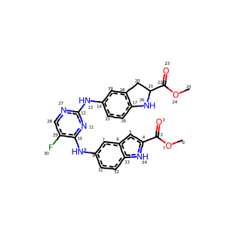 COC(=O)c1cc2cc(Nc3nc(Nc4ccc5c(c4)CC(C(=O)OC)N5)ncc3F)ccc2[nH]1